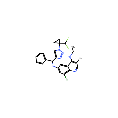 CC(C)(C)CNc1c(C#N)cnc2c(Cl)cc(NC(c3ccccc3)c3cn(C4(C(F)F)CC4)nn3)cc12